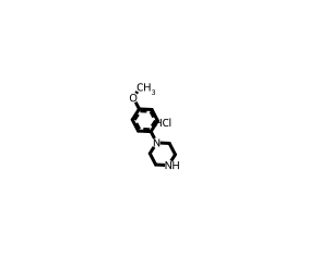 COc1ccc(N2CCNCC2)cc1.Cl